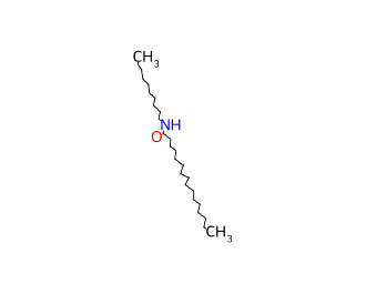 CCCCCCCCCCCCCCCC(=O)NCCCCCCCCCC